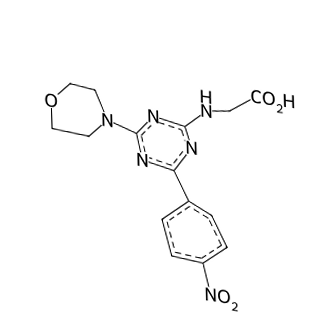 O=C(O)CNc1nc(-c2ccc([N+](=O)[O-])cc2)nc(N2CCOCC2)n1